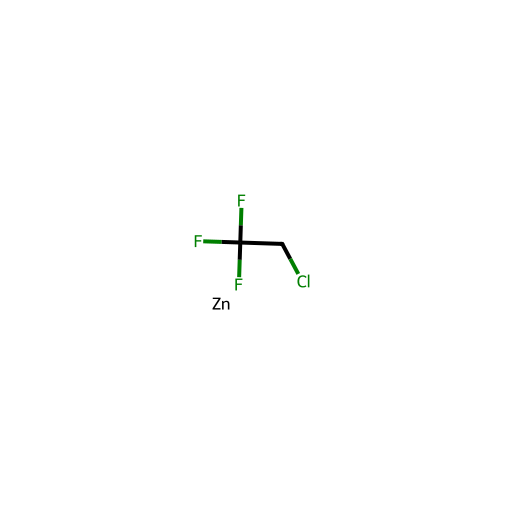 FC(F)(F)CCl.[Zn]